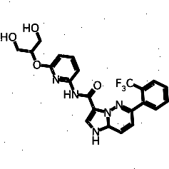 O=C(Nc1cccc(OC(CO)CO)n1)C1=CNC2C=CC(c3ccccc3C(F)(F)F)=NN12